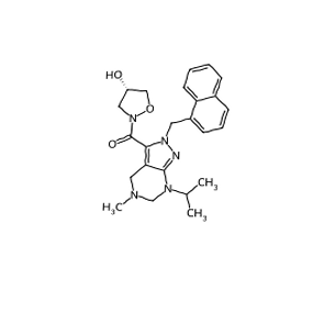 CC(C)N1CN(C)Cc2c1nn(Cc1cccc3ccccc13)c2C(=O)N1C[C@H](O)CO1